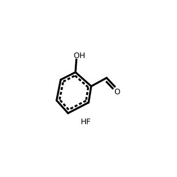 F.O=Cc1ccccc1O